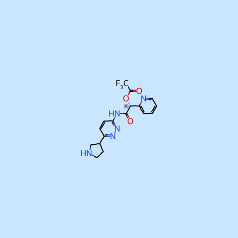 O=C(Nc1ccc(C2CCNC2)nn1)[C@H](OC(=O)C(F)(F)F)c1ccccn1